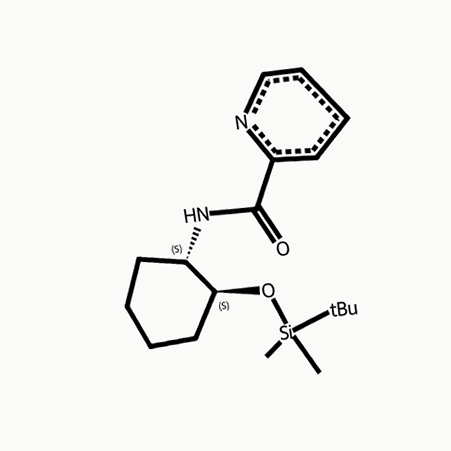 CC(C)(C)[Si](C)(C)O[C@H]1CCCC[C@@H]1NC(=O)c1ccccn1